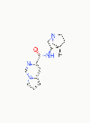 O=C(N[C@H]1CN2CC[C@H]1C2)c1cc2cccn2cn1